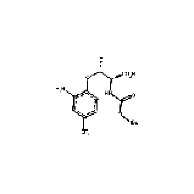 C[C@@H](Oc1ccc(C(F)(F)F)cc1N)[C@H](NC(=O)OC(C)(C)C)C(=O)O